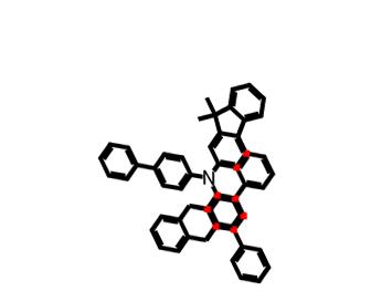 CC1(C)c2ccccc2-c2ccc(N(c3ccc(-c4ccccc4)cc3)c3ccc(-c4ccccc4)c4c3C3c5ccccc5C4c4ccc(-c5ccccc5)cc43)cc21